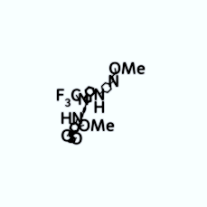 COCCN(C)[C@H]1CC[C@@H](Nc2cccc3c2cc(C#CCNc2ccc(S(C)(=O)=O)cc2OC)n3CC(F)(F)F)CC1